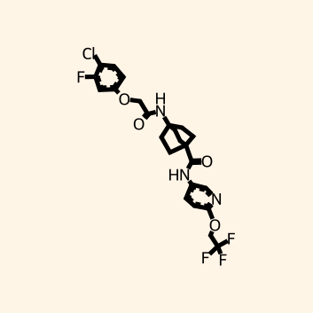 O=C(COc1ccc(Cl)c(F)c1)NC12CCC(C(=O)Nc3ccc(OCC(F)(F)F)nc3)(CC1)CC2